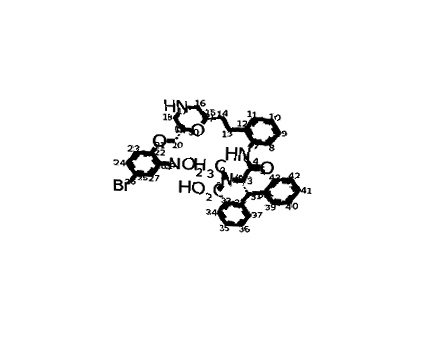 CN(C(=O)O)[C@H](C(=O)Nc1ccccc1CC[C@@H]1CNC[C@@H](COc2ccc(Br)cc2[N+](=O)[O-])O1)C(c1ccccc1)c1ccccc1